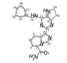 NC(=O)c1cccc2c(-c3nc4c(c(NCc5ccccc5)n3)NCC4)ncn12